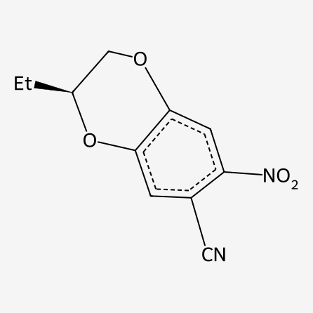 CC[C@H]1COc2cc([N+](=O)[O-])c(C#N)cc2O1